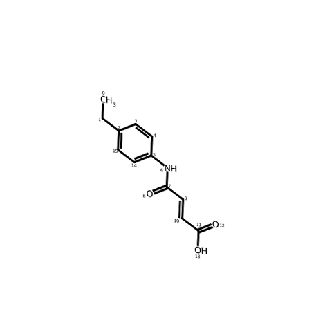 CCc1ccc(NC(=O)C=CC(=O)O)cc1